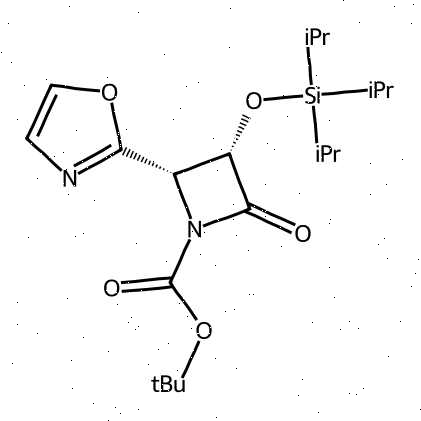 CC(C)[Si](O[C@@H]1C(=O)N(C(=O)OC(C)(C)C)[C@@H]1c1ncco1)(C(C)C)C(C)C